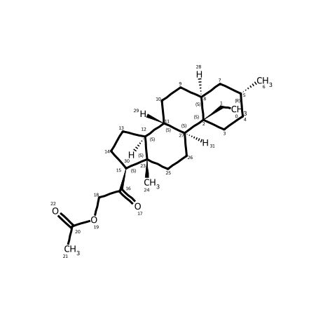 CC[C@]12CC[C@@H](C)C[C@@H]1CC[C@H]1[C@@H]3CC[C@H](C(=O)COC(C)=O)[C@@]3(C)CC[C@@H]12